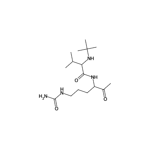 CC(=O)C(CCCNC(N)=O)NC(=O)C(NC(C)(C)C)C(C)C